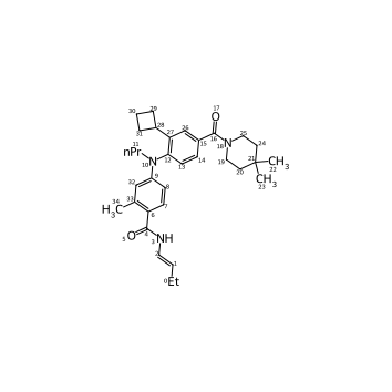 CC/C=C/NC(=O)c1ccc(N(CCC)c2ccc(C(=O)N3CCC(C)(C)CC3)cc2C2CCC2)cc1C